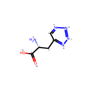 N[C@H](Cc1cnnnn1)C(=O)O